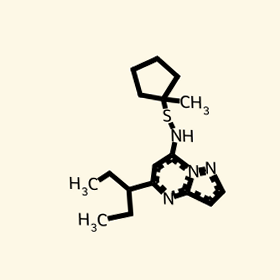 CCC(CC)c1cc(NSC2(C)CCCC2)n2nccc2n1